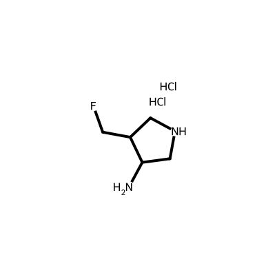 Cl.Cl.NC1CNCC1CF